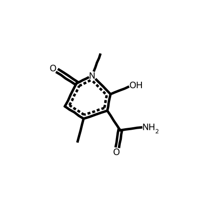 Cc1cc(=O)n(C)c(O)c1C(N)=O